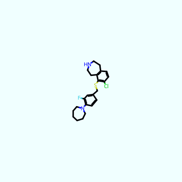 Fc1cc(CSc2c(Cl)ccc3c2CCNCC3)ccc1N1CCCCCC1